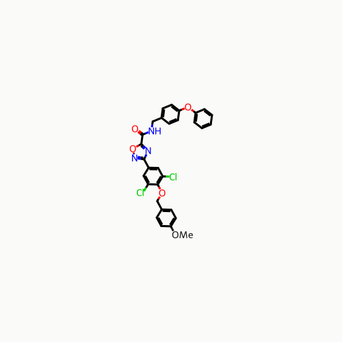 COc1ccc(COc2c(Cl)cc(-c3noc(C(=O)NCc4ccc(Oc5ccccc5)cc4)n3)cc2Cl)cc1